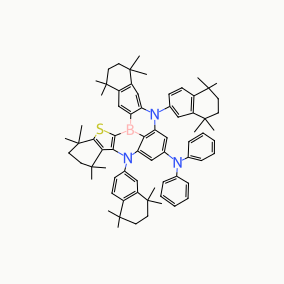 CC1(C)CCC(C)(C)c2cc(N3c4cc5c(cc4B4c6sc7c(c6N(c6ccc8c(c6)C(C)(C)CCC8(C)C)c6cc(N(c8ccccc8)c8ccccc8)cc3c64)C(C)(C)CCC7(C)C)C(C)(C)CCC5(C)C)ccc21